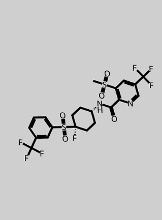 CS(=O)(=O)c1cc(C(F)(F)F)cnc1C(=O)N[C@H]1CC[C@](F)(S(=O)(=O)c2cccc(C(F)(F)F)c2)CC1